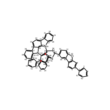 c1ccc(-c2ccc3c(c2)oc2ccc(-c4nc(-c5ccccc5)nc(-n5c6ccccc6c6ccc7c8ccccc8n(-c8ccccc8-c8ccccc8)c7c65)n4)cc23)cc1